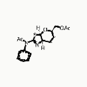 CC(=O)OC[C@H]1[C][C][C@H]2N=C(N(C(C)=O)c3ccccc3)S[C@H]2O1